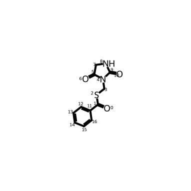 O=C(SCN1C(=O)CNC1=O)c1ccccc1